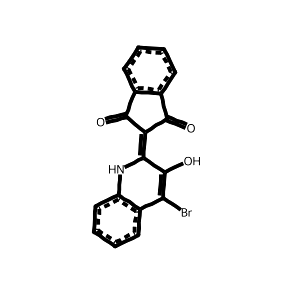 O=C1C(=C2Nc3ccccc3C(Br)=C2O)C(=O)c2ccccc21